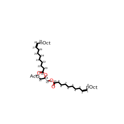 CCCCCCCC/C=C\CCCCCCCC(=O)OC[C@H](COC(C)=O)OC(=O)CCCCCCC/C=C\CCCCCCCC